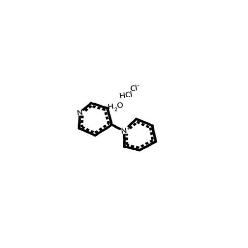 Cl.O.[Cl-].c1cc[n+](-c2ccncc2)cc1